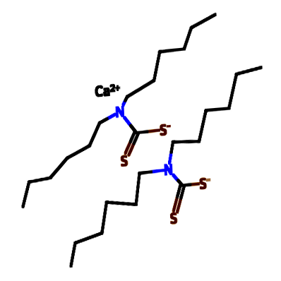 CCCCCCN(CCCCCC)C(=S)[S-].CCCCCCN(CCCCCC)C(=S)[S-].[Ca+2]